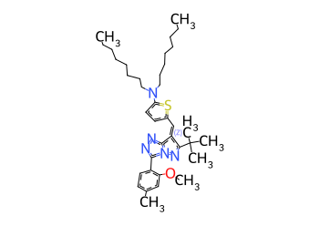 CCCCCCCCN(CCCCCCCC)c1ccc(/C=c2/c(C(C)(C)C)nn3c(-c4ccc(C)cc4OC)nnc23)s1